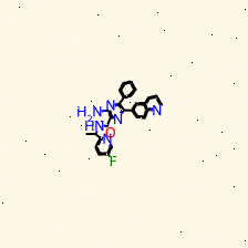 CC(NC(=O)c1nc(-c2ccc3ncccc3c2)c(-c2ccccc2)nc1N)c1ccc(F)cn1